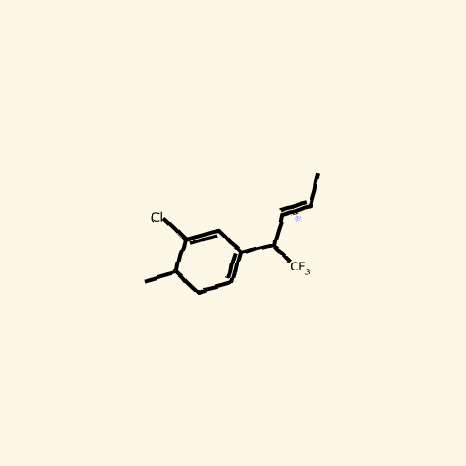 C/C=C/C(C1=CCC(C)C(Cl)=C1)C(F)(F)F